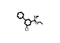 C=N/C(=N\CC)c1cc(Cl)cc(-c2ccccc2)c1